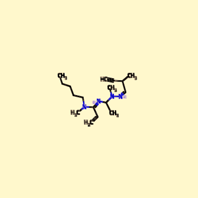 C#CC(C)/C=N\N(C)C(C)/N=C(\C=C)N(C)CCCCC